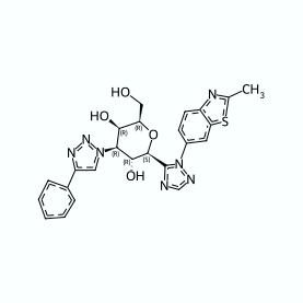 Cc1nc2ccc(-n3ncnc3[C@@H]3O[C@H](CO)[C@H](O)[C@H](n4cc(-c5ccccc5)nn4)[C@H]3O)cc2s1